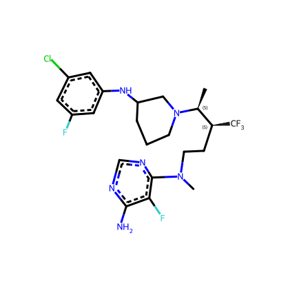 C[C@@H]([C@H](CCN(C)c1ncnc(N)c1F)C(F)(F)F)N1CCCC(Nc2cc(F)cc(Cl)c2)C1